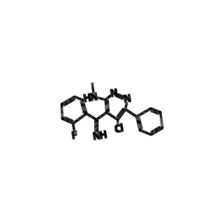 CNc1nnc(-c2ccccc2)c(Cl)c1C(=N)c1ccccc1F